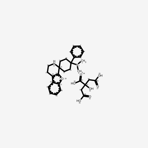 CN(C)C1(c2ccccc2)CCC2(CC1)NCCc1c2oc2ccccc12.O=C(O)CC(O)(CC(=O)O)C(=O)O